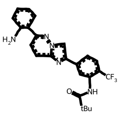 CC(C)(C)C(=O)Nc1cc(-c2cn3nc(-c4ccccc4N)ccc3n2)ccc1C(F)(F)F